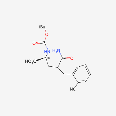 CC(C)(C)OC(=O)N[C@@H](CC(Cc1ccccc1C#N)C(N)=O)C(=O)O